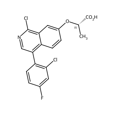 C[C@H](Oc1ccc2c(-c3ccc(F)cc3Cl)cnc(Cl)c2c1)C(=O)O